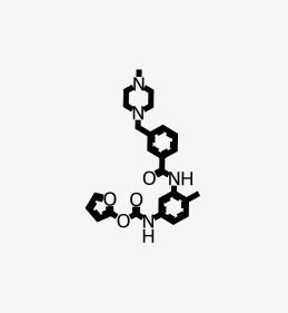 Cc1ccc(NC(=O)Oc2ccco2)cc1NC(=O)c1cccc(CN2CCN(C)CC2)c1